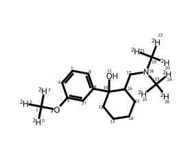 [2H]C([2H])([2H])Oc1cccc(C2(O)CCCCC2CN(C([2H])([2H])[2H])C([2H])([2H])[2H])c1